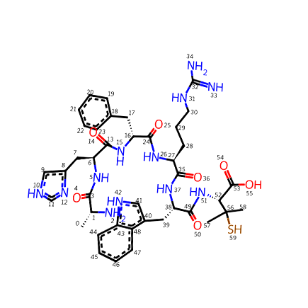 C[C@@H](N)C(=O)N[C@@H](Cc1c[nH]cn1)C(=O)N[C@H](Cc1ccccc1)C(=O)N[C@@H](CCCNC(=N)N)C(=O)N[C@@H](Cc1c[nH]c2ccccc12)C(=O)N[C@H](C(=O)O)C(C)(C)S